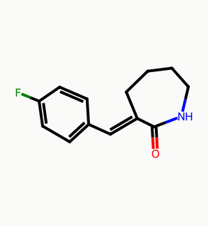 O=C1NCCCCC1=Cc1ccc(F)cc1